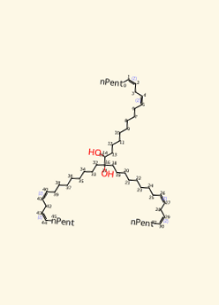 CCCCC/C=C\C/C=C\CCCCCCCCC(O)C(O)(CCCCCCCC/C=C\C/C=C\CCCCC)CCCCCCCC/C=C\C/C=C\CCCCC